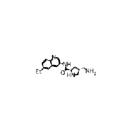 CCc1ccc2ncc(NC(=O)[C@H]3C[C@H](CN)CN3)cc2c1